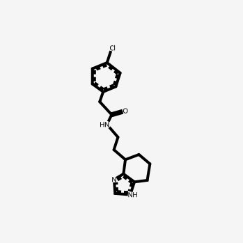 O=C(Cc1ccc(Cl)cc1)NCCC1CCCc2[nH]cnc21